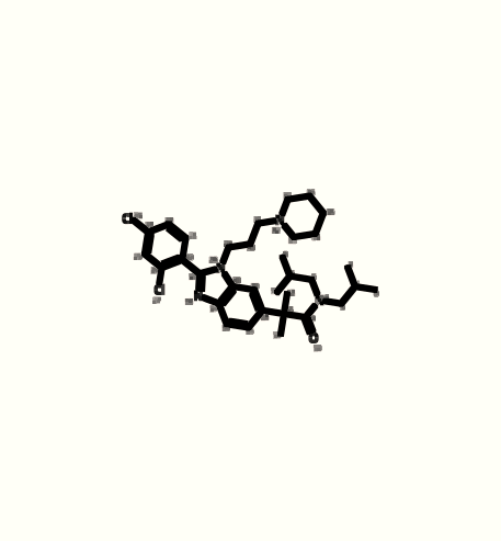 CC(C)CN(CC(C)C)C(=O)C(C)(C)c1ccc2nc(-c3ccc(Cl)cc3Cl)n(CCCN3CCCCC3)c2c1